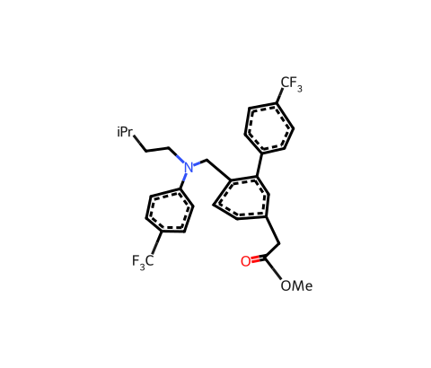 COC(=O)Cc1ccc(CN(CCC(C)C)c2ccc(C(F)(F)F)cc2)c(-c2ccc(C(F)(F)F)cc2)c1